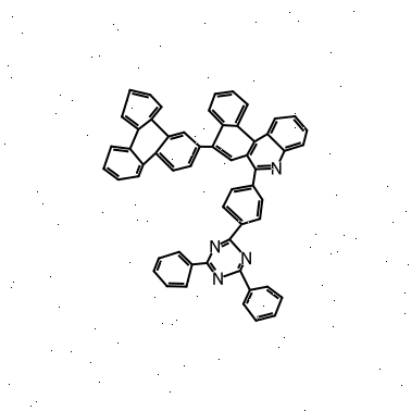 c1ccc(-c2nc(-c3ccccc3)nc(-c3ccc(-c4nc5ccccc5c5c4cc(-c4ccc6c7ccccc7c7ccccc7c6c4)c4ccccc45)cc3)n2)cc1